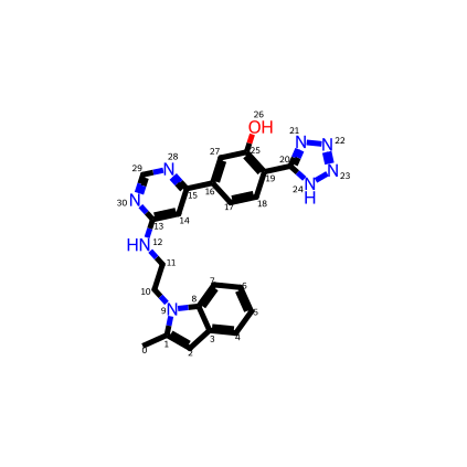 Cc1cc2ccccc2n1CCNc1cc(-c2ccc(-c3nnn[nH]3)c(O)c2)ncn1